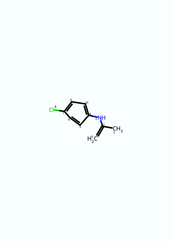 C=C(C)Nc1ccc(Cl)cc1